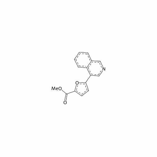 COC(=O)c1ccc(-c2cncc3ccccc23)o1